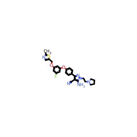 Cc1ncc(COc2cc(F)cc(Oc3ccc(-c4nn(CCN5CCCC5)c(N)c4C#N)cc3)c2)s1